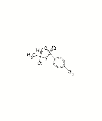 CCC(C)(C)SS(=O)(=O)c1ccc(C)cc1